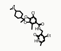 CCc1cc(C)[nH]c(=O)c1CNC(=O)c1cc(Cl)c2c(c1C)OC(C)(C1CCC(N(C)C)CC1)O2